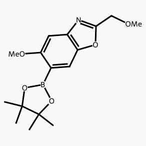 COCc1nc2cc(OC)c(B3OC(C)(C)C(C)(C)O3)cc2o1